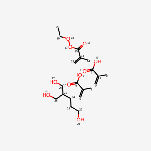 C=C(C)C(=O)O.C=C(C)C(=O)O.C=C(C)C(=O)OOCC.OCCCC(CO)CO